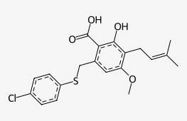 COc1cc(CSc2ccc(Cl)cc2)c(C(=O)O)c(O)c1CC=C(C)C